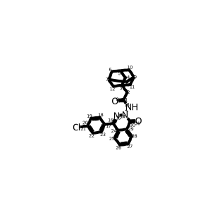 O=C(CC12CC3CC(CC(C3)C1)C2)Nn1nc(-c2ccc(Cl)cc2)c2ccccc2c1=O